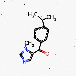 CC(C)c1ccc(C(=O)c2cncn2C)cc1